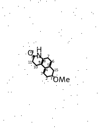 COC1CC=C2C(=CCC3=C2CCC(=O)N3)C1